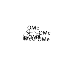 CO[Si](CC(C)C)(C[Si](OC)(OC)OC)OC